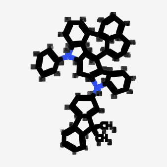 CC1(C)c2ccccc2-c2ccc(-n3c4ccccc4c4c5c6c7c(cccc7n(-c7ccccc7)c6cc43)-c3cccc4cccc-5c34)cc21